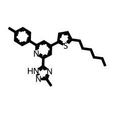 CCCCCCc1ccc(-c2cc(-c3ccc(C)cc3)nc(-c3nc(C)n[nH]3)c2)s1